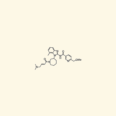 COCc1ccc(C(=O)Nc2nc3cccc(C)c3n2C2CCCCN(C(=O)/C=C/CN(C)C)C2)cn1